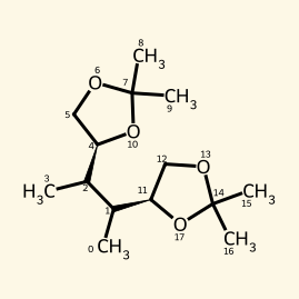 CC(C(C)[C@H]1COC(C)(C)O1)[C@H]1COC(C)(C)O1